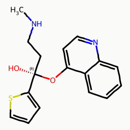 CNCC[C@@](O)(Oc1ccnc2ccccc12)c1cccs1